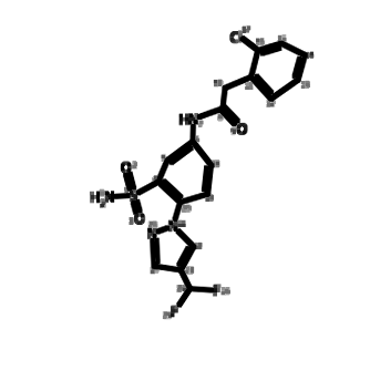 NS(=O)(=O)c1cc(NC(=O)Cc2ccccc2Cl)ccc1-n1cc(C(F)F)cn1